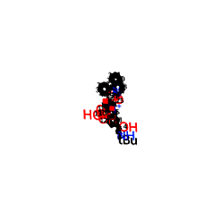 CC(C)(C)NCC(O)c1ccc(OP(=O)(O)O)c(C[N+]23CCC(CC2)C(OC(=O)N2CCc4ccccc4C2C2CCCCC2)C3)c1